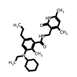 CCCc1cc(C(=O)NCc2c(C)cc(C)[nH]c2=O)c(C)c(N(CC)C2CCCCC2)c1